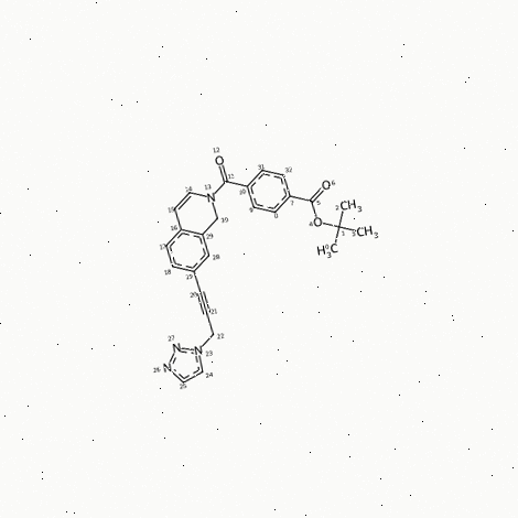 CC(C)(C)OC(=O)c1ccc(C(=O)N2C=Cc3ccc(C#CCn4ccnn4)cc3C2)cc1